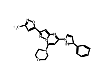 Cc1cc(-c2cc3nc(N4C=CC(c5ccccc5)N4)cc(N4CCOCC4)n3n2)on1